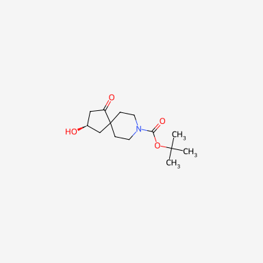 CC(C)(C)OC(=O)N1CCC2(CC1)C[C@@H](O)CC2=O